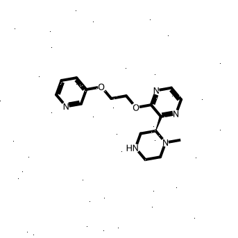 CN1CCNC[C@H]1c1nccnc1OCCOc1cccnc1